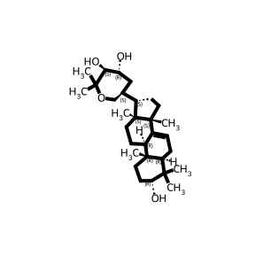 CC1(C)OC[C@H]([C@@H]2CC[C@]3(C)C4=CC[C@H]5C(C)(C)[C@H](O)CC[C@]5(C)[C@H]4CC[C@@]23C)C[C@@H](O)[C@@H]1O